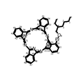 CCCCC(CC)C[O][Pt][c]1cccc2c3nc4nc(nc5[nH]c(nc6nc(nc([nH]3)c12)-c1ccccc1-6)c1ccccc51)-c1ccccc1-4